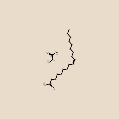 CCCCCCCC/C=C\CCCCCCCC(=O)O.NCC(=O)O